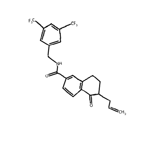 C=CCC1CCc2cc(C(=O)NCc3cc(C(F)(F)F)cc(C(F)(F)F)c3)ccc2C1=O